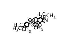 COC(=O)[C@]12Cc3cnn(C(C)C)c3C=C1CCN(S(=O)(=O)c1ccc(C(C)(C)C)cc1)C2